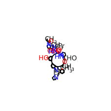 C=CC(=O)N1CCC(O)(C(=O)N(C)[C@H](C(=O)N[C@H]2Cc3cc(O)cc(c3)-c3ccc4c(c3)c(c(-c3ccccc3CCN3CCCC3)n4CC)CC(C)(C)COC[C@@]3(C=O)CCCN(N3)C2=O)C(C)C)C1